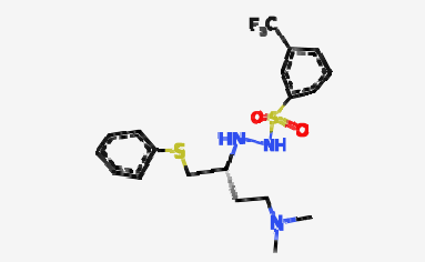 CN(C)CC[C@H](CSc1ccccc1)NNS(=O)(=O)c1cccc(C(F)(F)F)c1